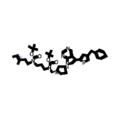 C/C=C(\C)CCN(CCCN(C[C@@H]1CC[C@H](n2cc(-c3cc(Cc4ccccc4)cs3)c3cncnc32)C1)C(=O)OC(C)(C)C)C(=O)OC(C)(C)C